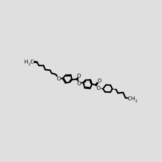 C=CCCCCCCOc1ccc(C(=O)Oc2ccc(C(=O)O[C@H]3CC[C@H](CCCCC)CC3)cc2)cc1